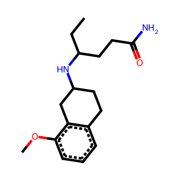 CCC(CCC(N)=O)NC1CCc2cccc(OC)c2C1